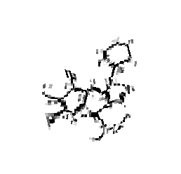 CON(C)C(=O)c1cnn(C2CCCCO2)c1Cc1ccc(F)c(C)c1Br